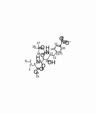 CC[C@@H](C)[C@H](NC(=O)CC(O)[C@H](Cc1ccc([N+](=O)[O-])cc1)NC(=O)OC(C)(C)C)C(=O)OC